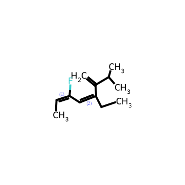 C=C(/C(=C\C(F)=C/C)CC)C(C)C